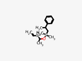 C=C[SiH2]C(C)O[Si](C)(C)CC(C)c1ccccc1